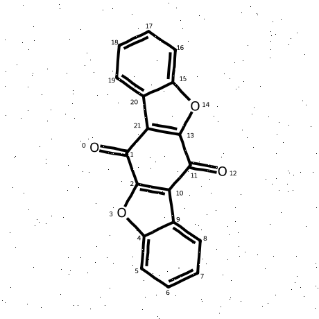 O=C1c2oc3ccccc3c2C(=O)c2oc3ccccc3c21